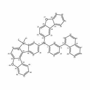 C[Si]1(C)c2cc(N(c3cccc(-c4cccc5ccccc45)c3)c3ccc4oc5ccccc5c4c3)ccc2-c2c1ccc1oc3ccccc3c21